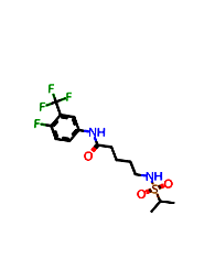 CC(C)S(=O)(=O)NCCCCC(=O)Nc1ccc(F)c(C(F)(F)F)c1